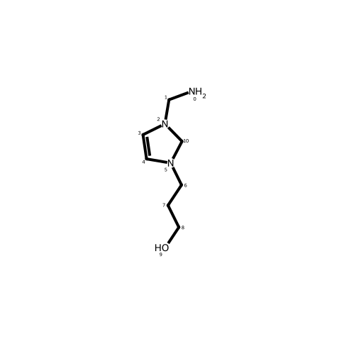 NCN1C=CN(CCCO)C1